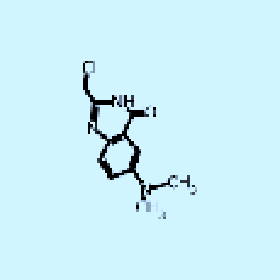 CN(C)c1ccc2nc(CCl)[nH]c(=O)c2c1